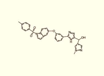 Cc1ccc(S(=O)(=O)n2ccc3cc(Oc4cccc(-c5nnc(C(O)c6cnn(C)c6)[nH]5)c4)ccc32)cc1